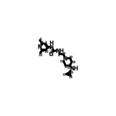 Cc1cc(NC(=O)NCCN2CCC(NC3CC3)CC2)cc(C)n1